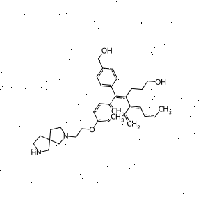 C=CC(=C\C=C/C)/C(CCCO)=C(\C(=C)/C=C\C(=C/C)OCCN1CCC2(CCNC2)C1)c1ccc(CO)cc1